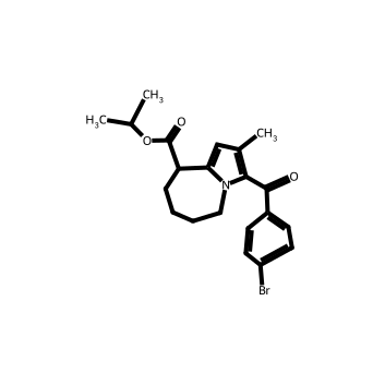 Cc1cc2n(c1C(=O)c1ccc(Br)cc1)CCCCC2C(=O)OC(C)C